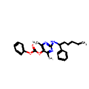 CCCCCC(Nc1nc(C)c(OC(=O)Oc2ccccc2)c(C)n1)c1ccccc1